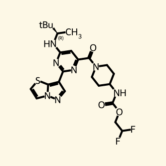 C[C@@H](Nc1cc(C(=O)N2CCC(NC(=O)OCC(F)F)CC2)nc(-c2cnn3ccsc23)n1)C(C)(C)C